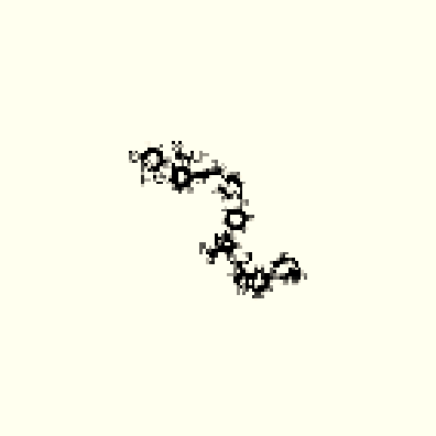 Cn1c(=O)n(C2CCC(=O)NC2=O)c2cccc(C#CCN3CCN(C[C@H]4CC[C@H](n5cc(NC(=O)c6cnn7ccc(N8CCOC(F)(F)C8)nc67)c(C(F)F)n5)CC4)CC3)c21